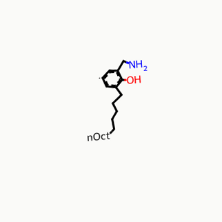 CCCCCCCCCCCCCc1c[c]cc(CN)c1O